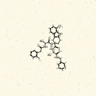 CCC(C)[C@H](NC(=O)Cc1ccccc1F)C(=O)N[C@]1(C(=O)N[C@H](C(=S)NCc2cncnc2)C(C)CC)CCc2[nH]c3c(C(F)(F)F)cccc3c2C1